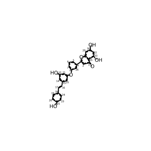 O=c1cc(-c2cccc(Oc3cc(O)cc(/C=C/c4ccc(O)cc4)c3)c2)oc2cc(O)cc(O)c12